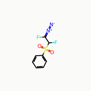 [N-]=[N+]=C(F)C(F)S(=O)(=O)c1ccccc1